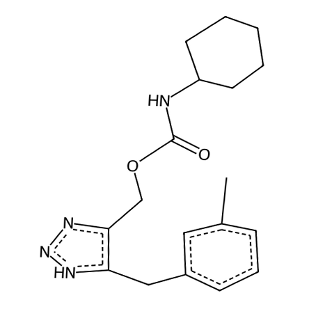 Cc1cccc(Cc2[nH]nnc2COC(=O)NC2CCCCC2)c1